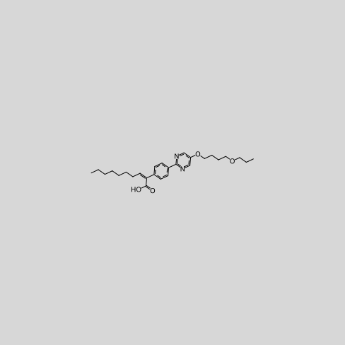 CCCCCCCC=C(C(=O)O)c1ccc(-c2ncc(OCCCCOCCC)cn2)cc1